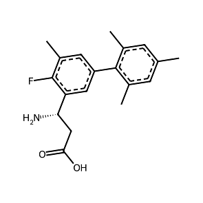 Cc1cc(C)c(-c2cc(C)c(F)c([C@@H](N)CC(=O)O)c2)c(C)c1